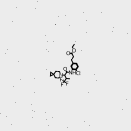 CCOC(=O)CCc1ccc(Cl)c(NC(=O)C(C(C)C(F)(F)F)N2CCC3(CC2)CC3)c1